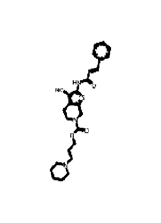 N#Cc1c(NC(=O)/C=C/c2ccccc2)sc2c1CCN(C(=O)OCCCN1CCCCC1)C2